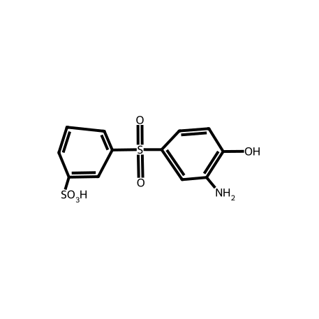 Nc1cc(S(=O)(=O)c2cccc(S(=O)(=O)O)c2)ccc1O